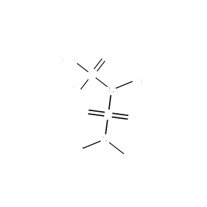 CC(C)N(P(O)(O)=S)S(=O)(=O)N(C)C